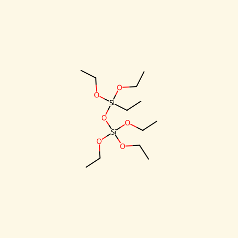 CCO[Si](CC)(OCC)O[Si](OCC)(OCC)OCC